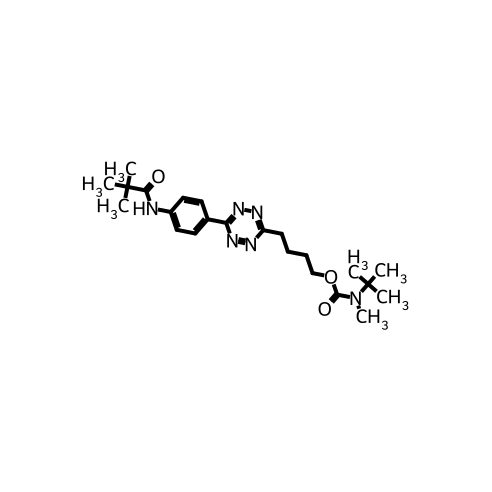 CN(C(=O)OCCCCc1nnc(-c2ccc(NC(=O)C(C)(C)C)cc2)nn1)C(C)(C)C